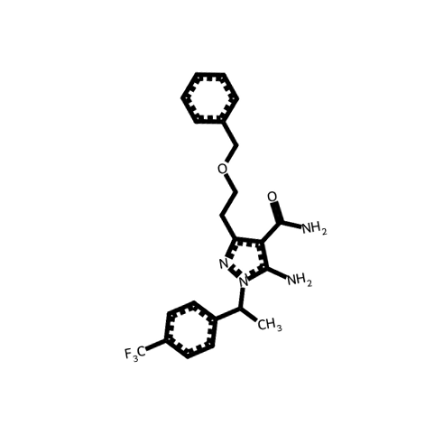 CC(c1ccc(C(F)(F)F)cc1)n1nc(CCOCc2ccccc2)c(C(N)=O)c1N